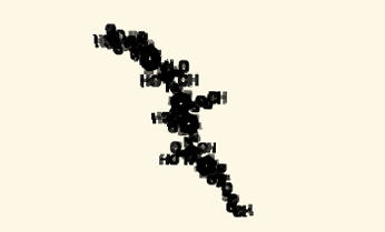 O=C(O)c1nn(-c2ccc(S(=O)(=O)CCOS(=O)(=O)O)cc2)c(O)c1/N=N/c1ccc(-c2ccc(/N=N/c3c(C(=O)O)nn(-c4ccc(S(=O)(=O)CCOSOOO)cc4)c3O)cc2S(=O)(=O)O)c(SOOO)c1